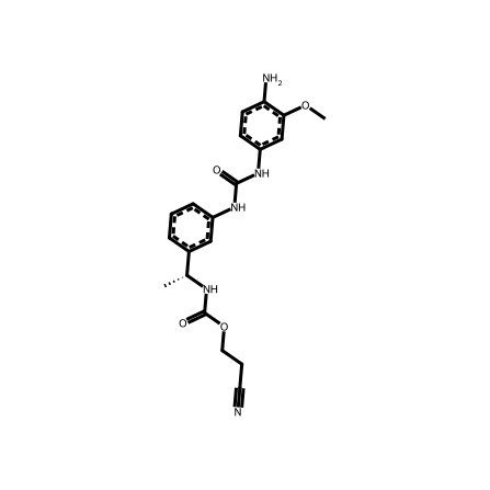 COc1cc(NC(=O)Nc2cccc([C@@H](C)NC(=O)OCCC#N)c2)ccc1N